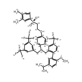 COc1ccc(C(C)C)cc1-c1ccc(C(F)(F)F)cc1CN(Cc1cc(C(F)(F)F)cc(C(F)(F)F)c1)c1ncc(OCCS(=O)(=O)c2ccc(N)c(C)c2)cn1